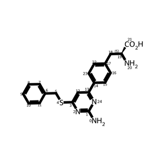 Nc1nc(SCc2ccccc2)cc(-c2ccc(C[C@H](N)C(=O)O)cc2)n1